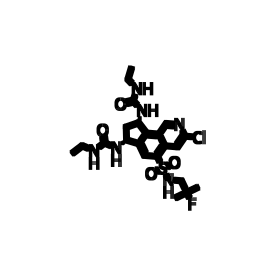 CCNC(=O)N[C@H]1C[C@@H](NC(=O)NCC)c2cc(S(=O)(=O)NCC(C)(C)F)c3cc(Cl)ncc3c21